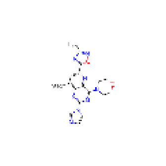 CSc1cc(-c2nc(C)no2)nc2c(N3CCOCC3)nc(-n3ccnc3)nc12